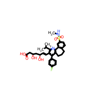 CNS(=O)(=O)c1ccc2c(c1)-c1nc(C(C)C)c(/C=C/[C@@H](O)C[C@@H](O)CC(=O)O)c(-c3ccc(F)cc3)c1CCC2